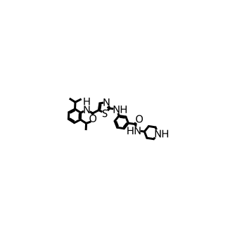 CC(C)c1cccc(C(C)C)c1NC(=O)c1cnc(Nc2cccc(C(=O)NC3CCNCC3)c2)s1